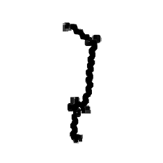 CCC(CCCCCCCCCCCCCCCC(=O)OCCCCCC(C)C)C(CC)C(=O)OCCCCCC(C)C